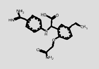 CCc1ccc(OCC(N)=O)c(C(Nc2ccc(C(=N)N)cc2)C(=O)O)c1